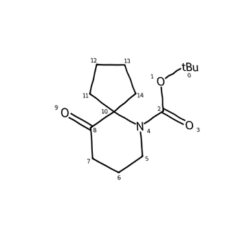 CC(C)(C)OC(=O)N1CCCC(=O)C12CCCC2